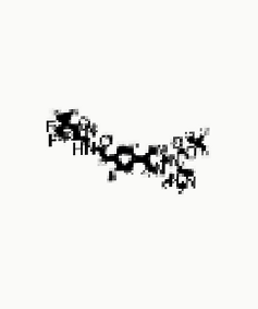 Cn1cncc1N(C(=O)OC(C)(C)C)c1ncc(-c2ccc(CC(=O)Nc3cc(C4(C(F)(F)F)CC4)on3)c(F)c2)cn1